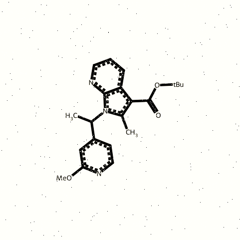 COc1cc(C(C)n2c(C)c(C(=O)OC(C)(C)C)c3cccnc32)ccn1